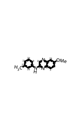 COc1ccc2nc(Nc3cccc(C)c3)cnc2c1